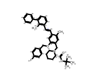 Cc1cc(CN2CCCC[C@H]2C(=O)OC(C)(C)C)c(OCc2ccc(F)cc2)cc1/C=C/c1cccc(-c2ccccc2)c1C